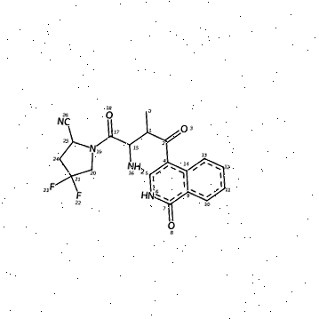 CC(C(=O)c1c[nH]c(=O)c2ccccc12)C(N)C(=O)N1CC(F)(F)CC1C#N